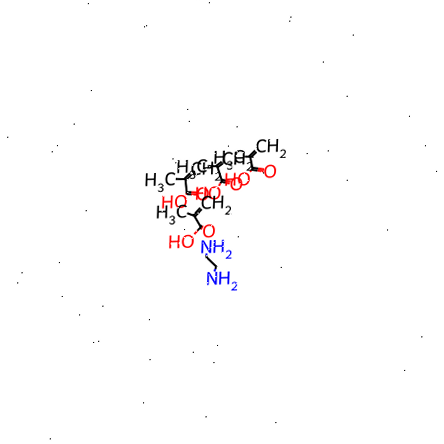 C=C(C)C(=O)O.C=C(C)C(=O)O.C=C(C)C(=O)O.C=C(C)C(=O)O.NCCN